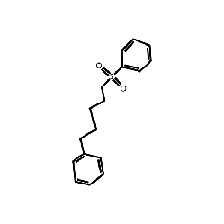 O=S(=O)(CCCCCc1ccccc1)c1ccccc1